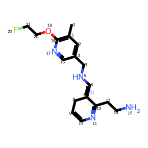 Cc1cc(CN/C=C2\CC=CN=C2CCN)cnc1OCCF